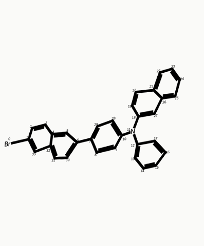 Brc1ccc2cc(-c3ccc(N(c4ccccc4)c4ccc5ccccc5c4)cc3)ccc2c1